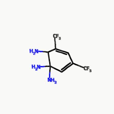 NC1C(C(F)(F)F)=CC(C(F)(F)F)=CC1(N)N